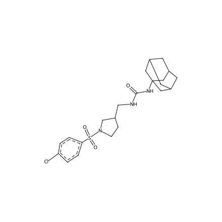 O=C(NCC1CCN(S(=O)(=O)c2ccc(Cl)cc2)C1)NC12CC3CC(CC(C3)C1)C2